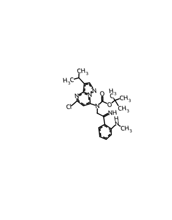 CNc1ccccc1C(=N)CN(C(=O)OC(C)(C)C)c1cc(Cl)nc2c(C(C)C)cnn12